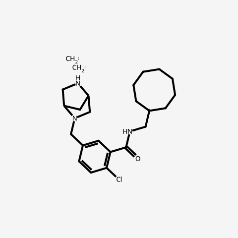 O=C(NC[C]1CCCCCCC1)c1cc(CN2CC3CC2CN3)ccc1Cl.[CH2].[CH2]